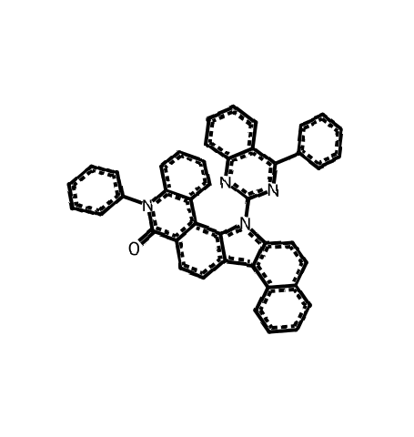 O=c1c2ccc3c4c5ccccc5ccc4n(-c4nc(-c5ccccc5)c5ccccc5n4)c3c2c2ccccc2n1-c1ccccc1